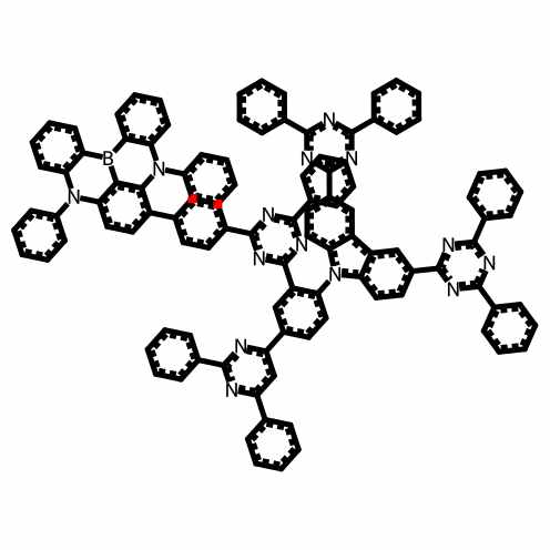 c1ccc(-c2cc(-c3ccc(-n4c5ccc(-c6nc(-c7ccccc7)nc(-c7ccccc7)n6)cc5c5cc(-c6nc(-c7ccccc7)nc(-c7ccccc7)n6)ccc54)c(-c4nc(-c5ccccc5)nc(-c5ccc(-c6ccc7c8c6N(c6ccccc6)c6ccccc6B8c6ccccc6N7c6ccccc6)cc5)n4)c3)nc(-c3ccccc3)n2)cc1